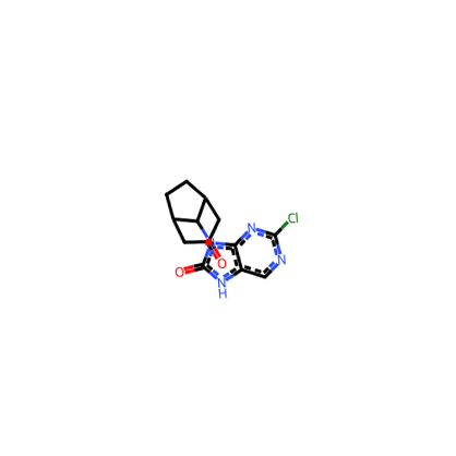 O=C1CC2CCC(C1)C2n1c(=O)[nH]c2cnc(Cl)nc21